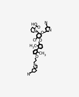 Cc1c(COc2cc(OCc3cncc(C#N)c3)c(CN3CCCC[C@H]3C(=O)O)cc2Cl)cccc1-c1cccc(OCCCN2CCC3(CCC(C#N)C3)C2)c1C